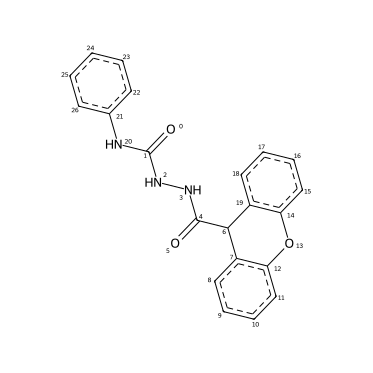 O=C(NNC(=O)C1c2ccccc2Oc2ccccc21)Nc1ccccc1